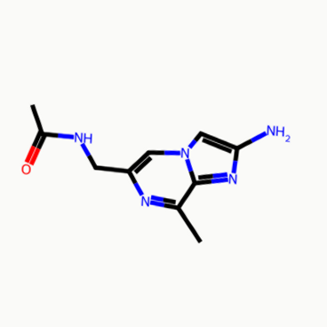 CC(=O)NCc1cn2cc(N)nc2c(C)n1